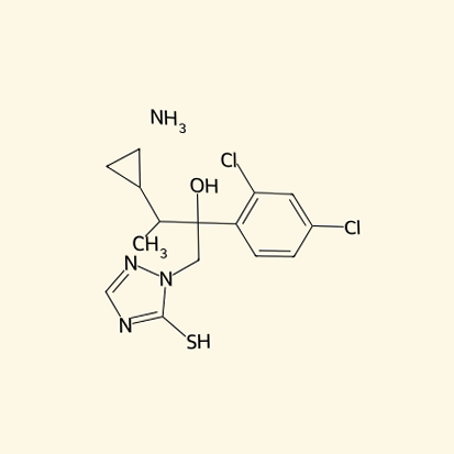 CC(C1CC1)C(O)(Cn1ncnc1S)c1ccc(Cl)cc1Cl.N